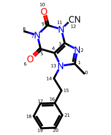 Cc1nc2c(c(=O)n(C)c(=O)n2C#N)n1CCc1ccccc1